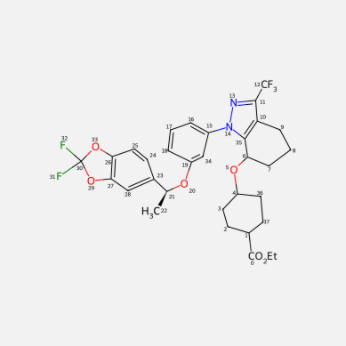 CCOC(=O)C1CCC(OC2CCCc3c(C(F)(F)F)nn(-c4cccc(O[C@@H](C)c5ccc6c(c5)OC(F)(F)O6)c4)c32)CC1